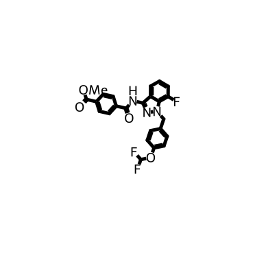 COC(=O)c1ccc(C(=O)Nc2nn(Cc3ccc(OC(F)F)cc3)c3c(F)cccc23)cc1